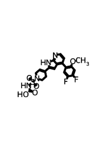 COc1cc(F)c(F)cc1-c1ccnc2[nH]c(C3=CCN(S(=O)(=O)NC(=O)O)CC3)cc12